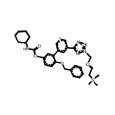 C[Si](C)(C)CCOCn1nnc(-c2cncc(-c3cc(OC(=O)NC4CCCCC4)ccc3OCc3ccccc3)c2)n1